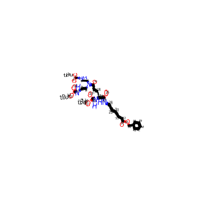 CC(C)(C)OC(=O)NCCN(CCNC(=O)OC(C)(C)C)C(=O)CC[C@H](NC(=O)OC(C)(C)C)C(=O)NCCCCCC(=O)OCc1ccccc1